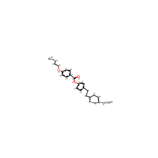 CCCCCCCC1CCC(CCc2ccc(OC(=O)c3ccc(OCCCC(C)CC)cc3)cc2)CC1